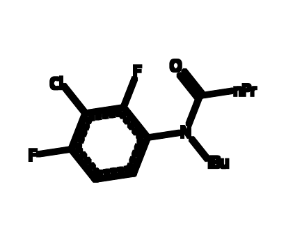 CCCC(=O)N(c1ccc(F)c(Cl)c1F)C(C)CC